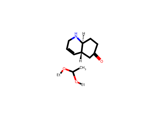 CCOC(C)OCC.O=C1CC[C@@H]2NCC=C[C@H]2C1